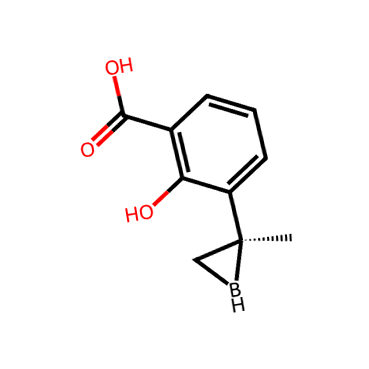 C[C@]1(c2cccc(C(=O)O)c2O)BC1